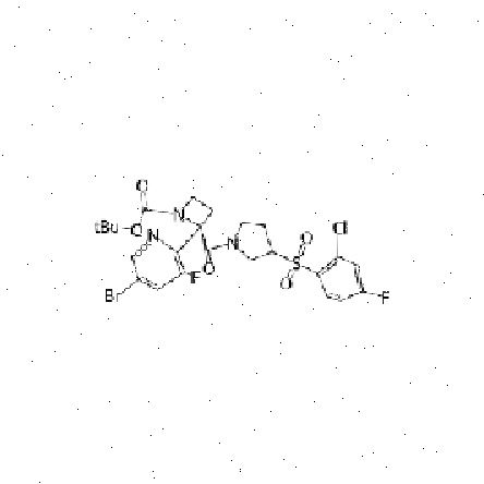 CC(C)(C)OC(=O)N1CCC1(C(=O)N1CCC(S(=O)(=O)c2ccc(F)cc2Cl)C1)c1ncc(Br)cc1F